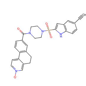 C#Cc1ccc2[nH]c(S(=O)(=O)N3CCN(C(=O)c4ccc5c(c4)CCc4c[n+]([O-])ccc4-5)CC3)cc2c1